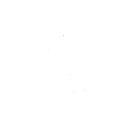 COc1ccc2ncc(F)c(CCCNCC3CN(c4ccc5c(c4)OCCO5)C(=O)O3)c2n1